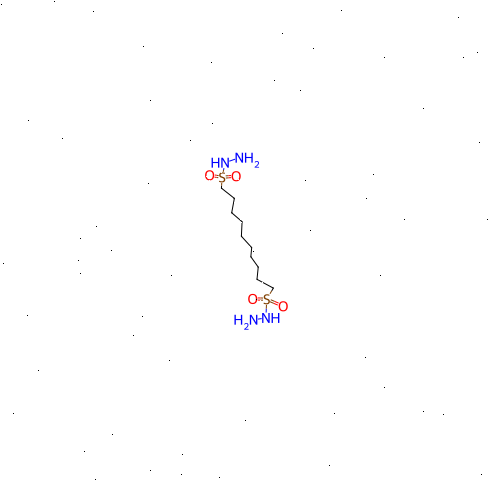 NNS(=O)(=O)CCCCCCCCCCS(=O)(=O)NN